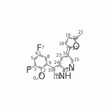 COc1c(F)cc(F)cc1-c1c[nH]c2ncc(-c3ccc(C)o3)cc12